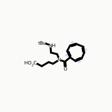 CC(C)(C)NCCN(CCCC(=O)O)C(=O)C1=C/C=C\C=C/C=C\1